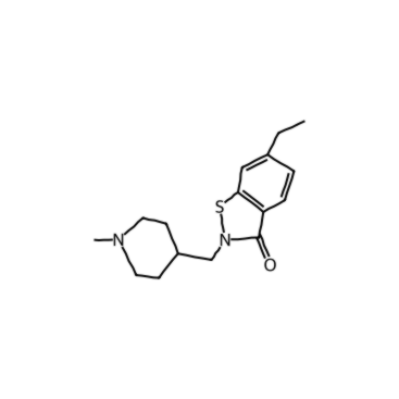 CCc1ccc2c(=O)n(CC3CCN(C)CC3)sc2c1